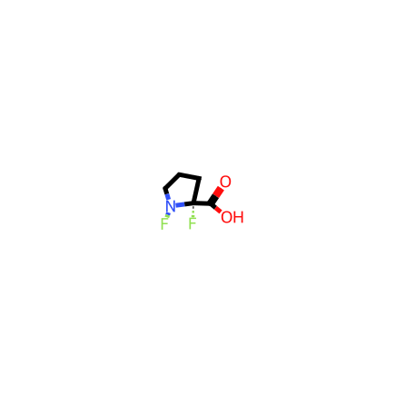 O=C(O)[C@]1(F)CCCN1F